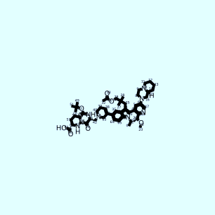 CCn1c(-c2cc(N3CCN4CCCC[C@@H]4C3)cnc2[C@H](C)OC)c(CC(C)(C)COC(C)=O)c2cc(C3=CCCN(C[C@H](NC(=O)OC(C)(C)C)C(=O)N4CCC[C@@H](C(=O)O)N4)C3)ccc21